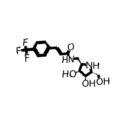 O=C(/C=C/c1ccc(C(F)(F)F)cc1)NC[C@H]1N[C@H](CO)[C@H](O)[C@@H]1O